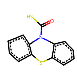 O=C(S)N1c2ccccc2Sc2ccccc21